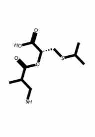 CC(C)SC[C@H](OC(=O)C(C)CS)C(=O)O